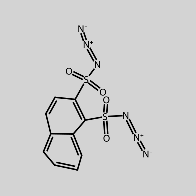 [N-]=[N+]=NS(=O)(=O)c1ccc2ccccc2c1S(=O)(=O)N=[N+]=[N-]